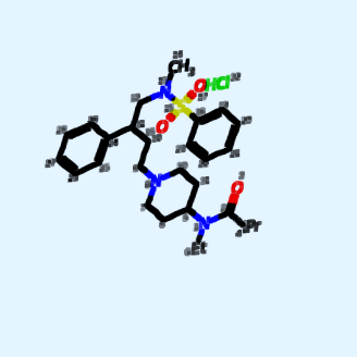 CCN(C(=O)C(C)C)C1CCN(CCC(CN(C)S(=O)(=O)c2ccccc2)c2ccccc2)CC1.Cl